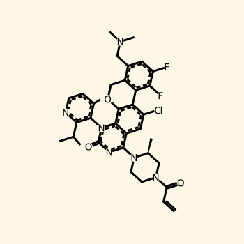 C=CC(=O)N1CCN(c2nc(=O)n(-c3c(C)ccnc3C(C)C)c3c4c(c(Cl)cc23)-c2c(F)c(F)cc(CN(C)C)c2CO4)[C@@H](C)C1